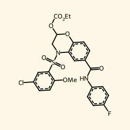 CCOC(=O)OC1CN(S(=O)(=O)c2cc(Cl)ccc2OC)c2cc(C(=O)Nc3ccc(F)cc3)ccc2O1